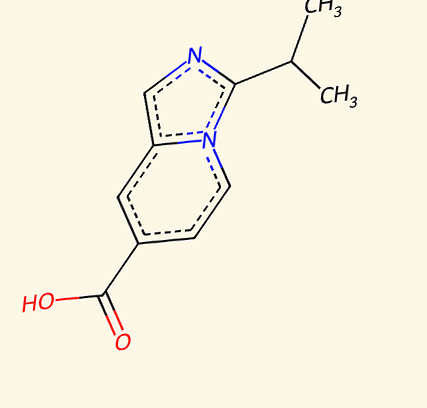 CC(C)c1ncc2cc(C(=O)O)ccn12